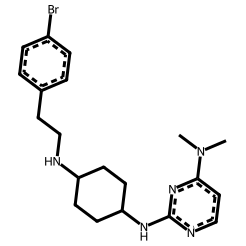 CN(C)c1ccnc(NC2CCC(NCCc3ccc(Br)cc3)CC2)n1